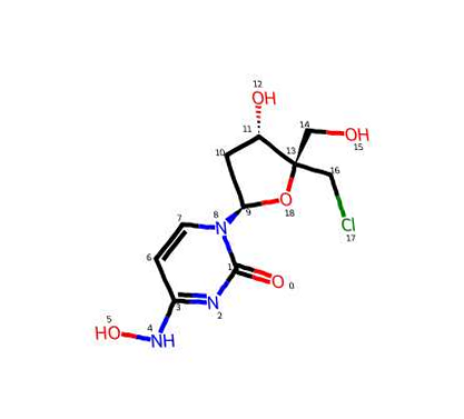 O=c1nc(NO)ccn1[C@H]1C[C@H](O)[C@](CO)(CCl)O1